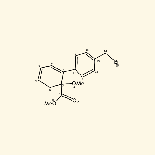 COC(=O)C1(OC)CC=CC=C1c1ccc(CBr)cc1